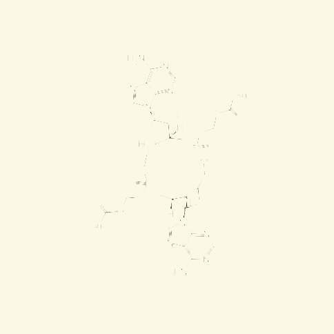 CC(C)(C)C(=O)OCSP1(=O)OC[C@H]2O[C@@H](n3cnc4c(N)ncnc43)[C@H](F)[C@@H]2OP(=O)(SCOC(=O)C(C)(C)C)OC[C@H]2O[C@@H](n3cnc4c(N)ncnc43)[C@H](O1)[C@H]2F